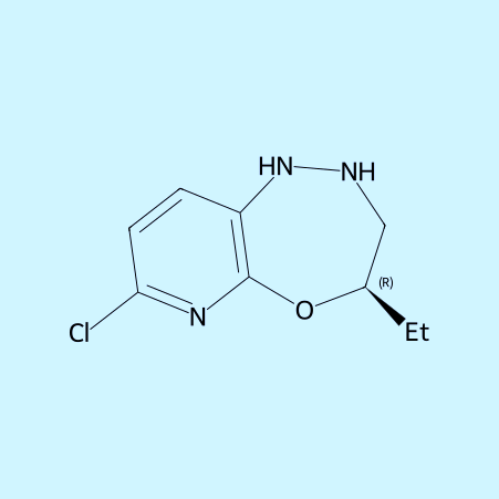 CC[C@@H]1CNNc2ccc(Cl)nc2O1